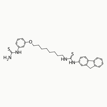 NC(=S)Nc1cccc(OCCCCCCCCNC(=S)Nc2ccc3c(c2)Cc2ccccc2-3)c1